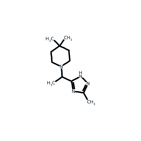 Cc1n[nH]c(C(C)N2CCC(C)(C)CC2)n1